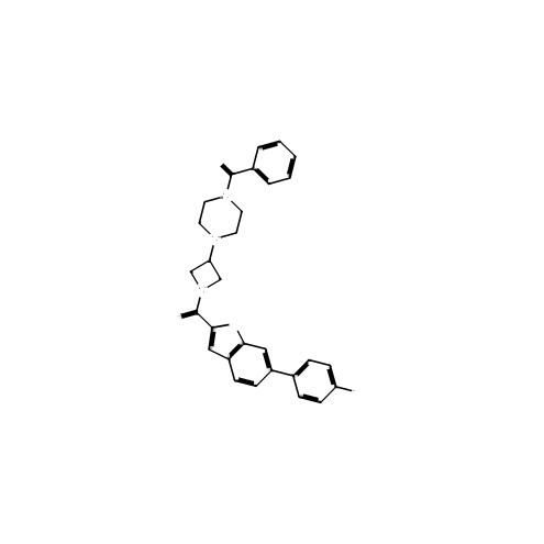 O=C(c1ccccc1)N1CCN(C2CN(C(=O)c3cc4ccc(-c5ccc(C(F)(F)F)cc5)cc4s3)C2)CC1